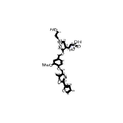 COc1cc(COc2nn(CCO)cc2/C=C/P(=O)(O)O)ccc1OCc1nc(-c2ccco2)oc1C